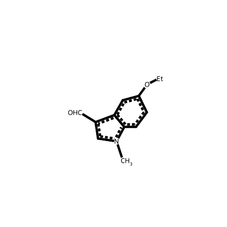 CCOc1ccc2c(c1)c(C=O)cn2C